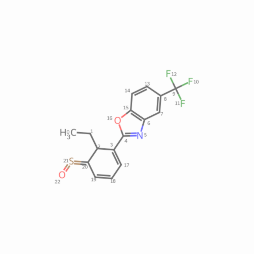 CCC1C(c2nc3cc(C(F)(F)F)ccc3o2)=CC=CC1=S=O